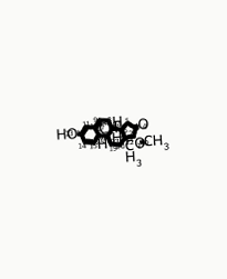 CO[C@@H]1C(=O)C[C@H]2[C@@H]3CC=C4C=C(O)C=C[C@]4(C)[C@H]3CC[C@]12C